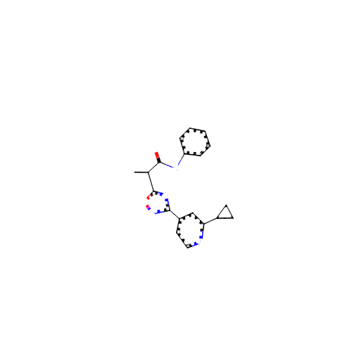 CC(C(=O)Nc1ccccc1)c1nc(-c2ccnc(C3CC3)c2)no1